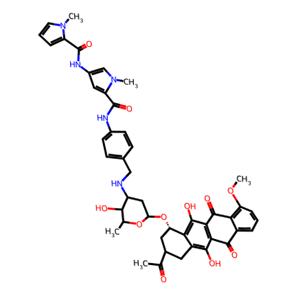 COc1cccc2c1C(=O)c1c(O)c3c(c(O)c1C2=O)CC(C(C)=O)C[C@@H]3OC1CC(NCc2ccc(NC(=O)c3cc(NC(=O)c4cccn4C)cn3C)cc2)C(O)C(C)O1